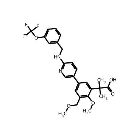 COCc1cc(-c2ccc(NCc3cccc(OC(F)(F)F)c3)nc2)cc(C(C)(C)C(=O)O)c1OC